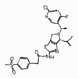 CC(C)[C@H]1c2nc(NC(=O)Cc3ccc(S(C)(=O)=O)cc3)sc2CN1[C@H](C)c1cnc(Cl)cc1F